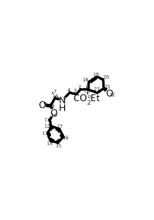 CCOC(=O)[C@]1(CCCN[C@@H](C)C(=O)OCc2ccccc2)C=CCC(=O)C1